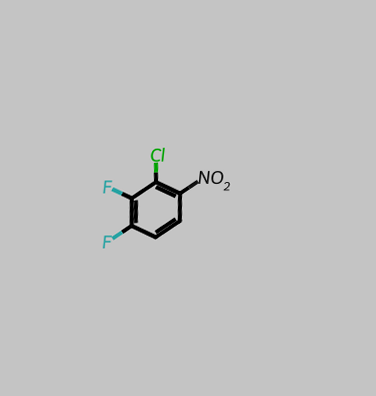 O=[N+]([O-])c1ccc(F)c(F)c1Cl